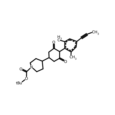 CC#Cc1cc(C)c(C2C(=O)CC(C3CCN(C(=O)OC(C)(C)C)CC3)CC2=O)c(C)c1